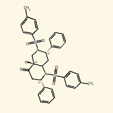 Cc1ccc(S(=O)(=O)N2C[C@H]3C(=O)C[C@@H](c4ccccc4)N(S(=O)(=O)c4ccc(C)cc4)C3C[C@H]2c2ccccc2)cc1